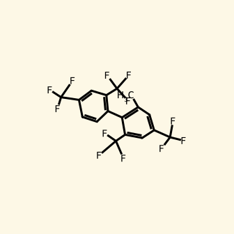 Cc1cc(C(F)(F)F)cc(C(F)(F)F)c1-c1ccc(C(F)(F)F)cc1C(F)(F)F